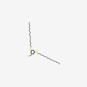 [CH2]Cc1cc(SCCCCCCCCCCCCCCC)cc(SCCCCCCCCCCCCCCC)c1